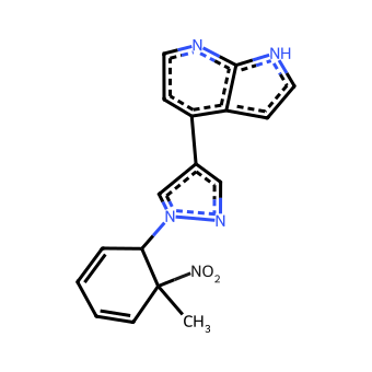 CC1([N+](=O)[O-])C=CC=CC1n1cc(-c2ccnc3[nH]ccc23)cn1